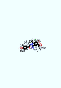 C=C(C)C1c2c(cc(C(=O)NC)c(OCC)c2F)C(=NC(=O)O)N1CC(=O)c1cc(C(C)(C)C)c(O)c(C(C)(C)C)c1